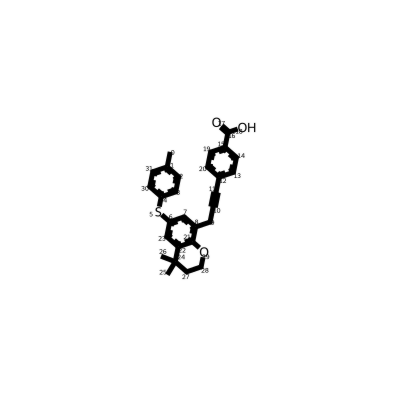 Cc1ccc(Sc2cc(CC#Cc3ccc(C(=O)O)cc3)c3c(c2)C(C)(C)CCO3)cc1